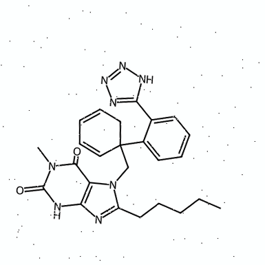 CCCCCc1nc2[nH]c(=O)n(C)c(=O)c2n1CC1(c2ccccc2-c2nnn[nH]2)C=CC=CC1